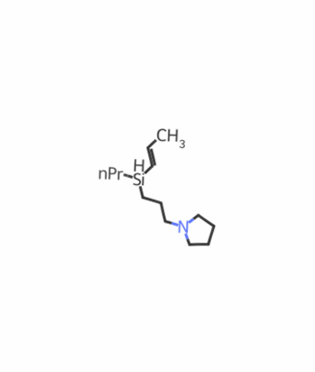 CC=C[SiH](CCC)CCCN1CCCC1